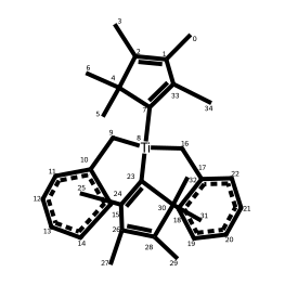 CC1=C(C)C(C)(C)[C]([Ti]([CH2]c2ccccc2)([CH2]c2ccccc2)[C]2=C(C)C(C)=C(C)C2(C)C)=C1C